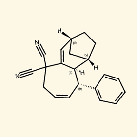 N#CC1(C#N)CC=C[C@@H](c2ccccc2)[C@H]2C1=C[C@@H]1CC[C@H]2C1